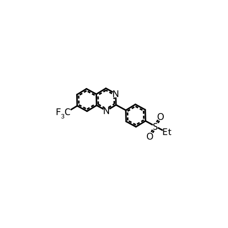 CCS(=O)(=O)c1ccc(-c2ncc3ccc(C(F)(F)F)cc3n2)cc1